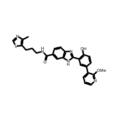 COc1ncccc1-c1ccc(O)c(-c2nc3ccc(C(=O)NCCCc4scnc4C)cc3[nH]2)c1